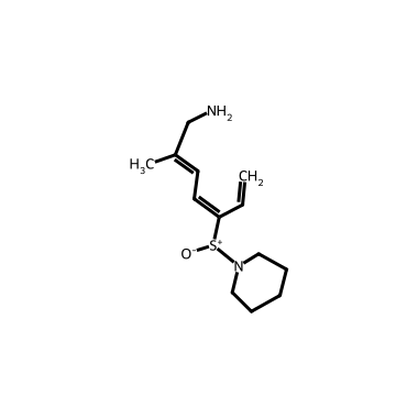 C=C/C(=C\C=C(/C)CN)[S+]([O-])N1CCCCC1